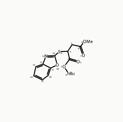 CCCCOC(=O)C(CC(=O)OC)Sc1nc2ccccc2o1